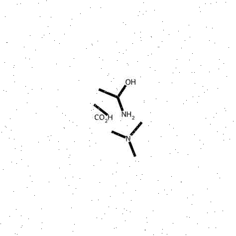 CC(=O)O.CC(N)O.CN(C)C